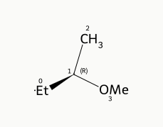 C[CH][C@@H](C)OC